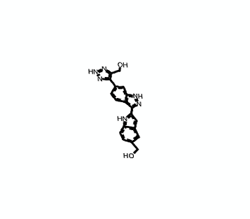 OCc1ccc2[nH]c(-c3n[nH]c4cc(-c5n[nH]nc5CO)ccc34)cc2c1